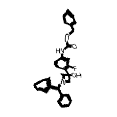 O=C(Nc1ccc(C2(O)CN(C(c3ccccc3)c3ccccc3)C2)c(F)c1)OCc1ccccc1